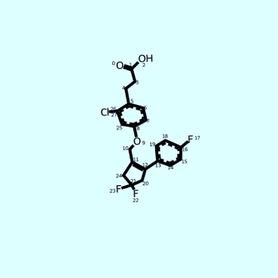 O=C(O)CCc1ccc(OCC2=C(c3ccc(F)cc3)CC(F)(F)C2)cc1Cl